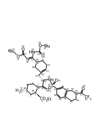 CCOC(=O)[C@H]1C[C@H](C)CCN1C(=O)[C@H](CC1=CCCN(C(=NC(=O)OC(C)(C)C)NC(=O)OC(C)(C)C)C1)NS(=O)(=O)c1ccc2c(c1)CN(C(=O)C(F)(F)F)CC2